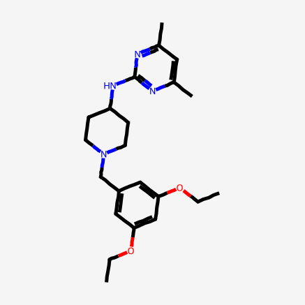 CCOc1cc(CN2CCC(Nc3nc(C)cc(C)n3)CC2)cc(OCC)c1